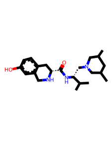 CC1CC(C)CN(C[C@@H](NC(=O)[C@H]2Cc3ccc(O)cc3CN2)C(C)C)C1